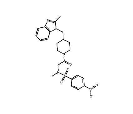 Cc1nc2cnccc2n1CC1CCN(C(=O)CN(C)S(=O)(=O)c2ccc([N+](=O)[O-])cc2)CC1